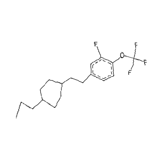 CCCC1CCC(CCc2ccc(OC(F)(F)F)c(F)c2)CC1